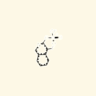 O=S(=O)(Oc1ncc2ccccc2c1F)C(F)(F)F